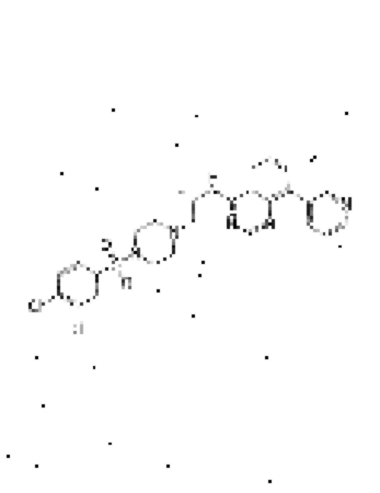 C[C@@H](CN1CCN(S(=O)(=O)c2ccc(Cl)c(Cl)c2)CC1)Nc1ncnc2c(-c3cccnc3)cccc12